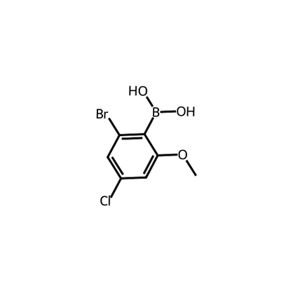 COc1cc(Cl)cc(Br)c1B(O)O